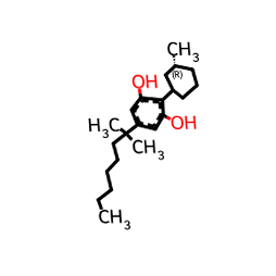 CCCCCCC(C)(C)c1cc(O)c(C2CCC[C@@H](C)C2)c(O)c1